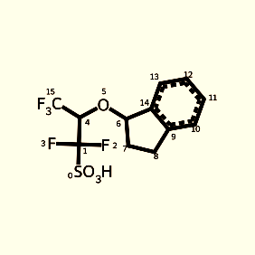 O=S(=O)(O)C(F)(F)C(OC1CCc2ccccc21)C(F)(F)F